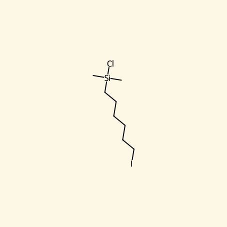 C[Si](C)(Cl)CCCCCCI